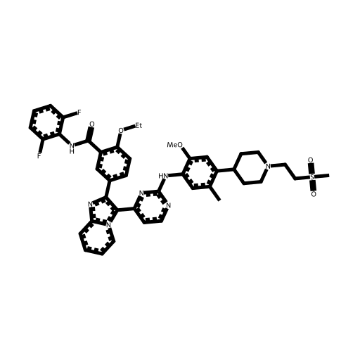 CCOc1ccc(-c2nc3ccccn3c2-c2ccnc(Nc3cc(C)c(C4CCN(CCS(C)(=O)=O)CC4)cc3OC)n2)cc1C(=O)Nc1c(F)cccc1F